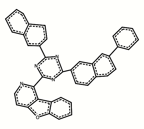 c1ccc(-c2ccc3ccc(-c4nc(-c5ccc6ccccc6c5)nc(-c5nccc6oc7ccccc7c56)n4)cc3c2)cc1